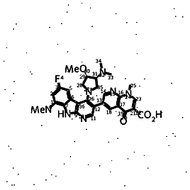 CNc1cc(F)cc2c1[nH]c1ncc(-c3cnc4c(c3)c(=O)c(C(=O)O)cn4C)c(N3C[C@H](OC)[C@@H](N(C)C)C3)c12